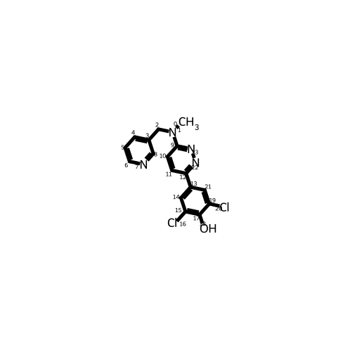 CN(Cc1cccnc1)c1ccc(-c2cc(Cl)c(O)c(Cl)c2)nn1